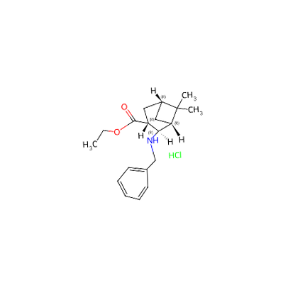 CCOC(=O)[C@@H]1C[C@H]2C[C@@H]([C@H]1NCc1ccccc1)C2(C)C.Cl